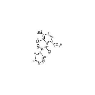 CCc1c(C(C)(C)C)ccc(C(=O)O)c1N(Cl)C(=O)c1cccnc1